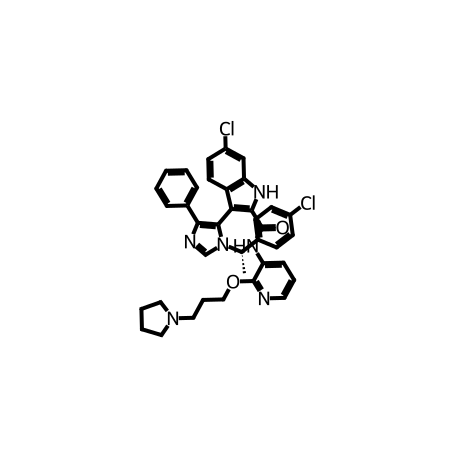 C[C@@H](c1ccc(Cl)cc1)n1cnc(-c2ccccc2)c1-c1c(C(=O)Nc2cccnc2OCCCN2CCCC2)[nH]c2cc(Cl)ccc12